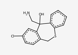 NCC1(O)c2cc(Cl)ccc2CSc2ccccc21